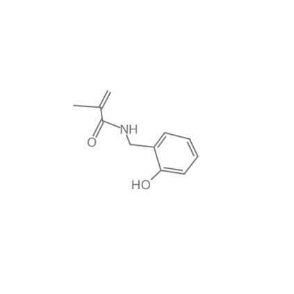 C=C(C)C(=O)NCc1ccccc1O